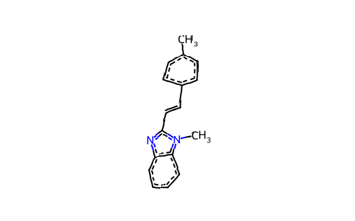 Cc1ccc(C=Cc2nc3ccccc3n2C)cc1